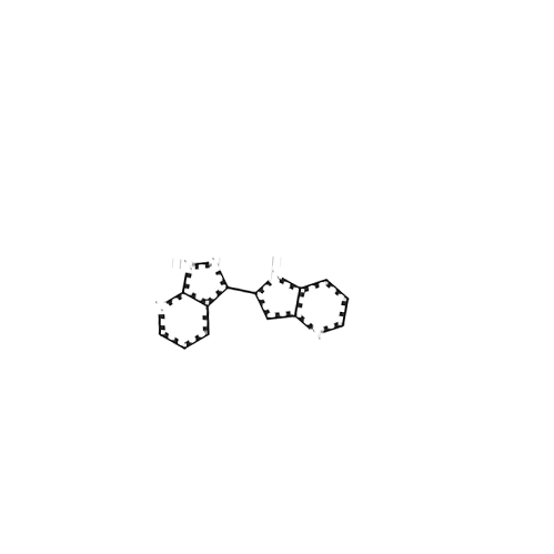 c1cnc2cc(-c3n[nH]c4ncccc34)[nH]c2c1